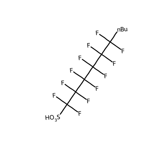 CCCCC(F)(F)C(F)(F)C(F)(F)C(F)(F)C(F)(F)C(F)(F)S(=O)(=O)O